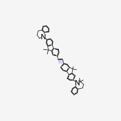 CC1(C)c2cc(/C=C/c3ccc4c(c3)C(C)(C)c3cc(N5c6ccccc6CCC5(C)C)ccc3-4)ccc2-c2ccc(N3CCCc4ccccc43)cc21